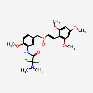 COc1cc(OC)c(C=C[S+]([O-])Cc2ccc(OC)c(NC(=O)C(F)(F)N(C)C)c2)c(OC)c1